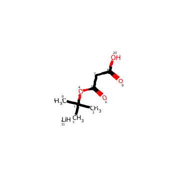 CC(C)(C)OC(=O)CC(=O)O.[LiH]